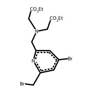 CCOC(=O)CN(CC(=O)OCC)Cc1cc(Br)cc(CBr)n1